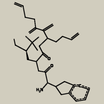 C=CCCC(=C)C(=C)C(CCC=C)CC(=O)C(CC(=O)C(N)C1Cc2ccccc2C1)C[C@@H](CC)C(C)(C)C